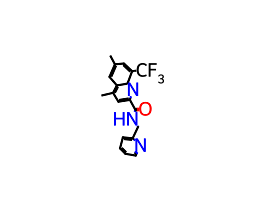 Cc1cc(C(F)(F)F)c2nc(C(=O)NCc3ccccn3)cc(C)c2c1